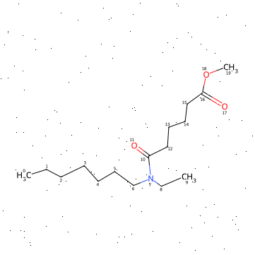 CCCCCCCN(CC)C(=O)CCCCC(=O)OC